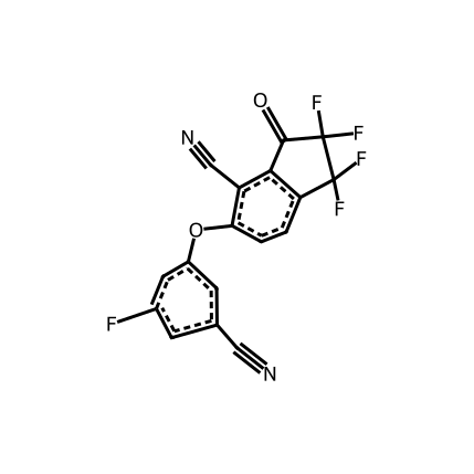 N#Cc1cc(F)cc(Oc2ccc3c(c2C#N)C(=O)C(F)(F)C3(F)F)c1